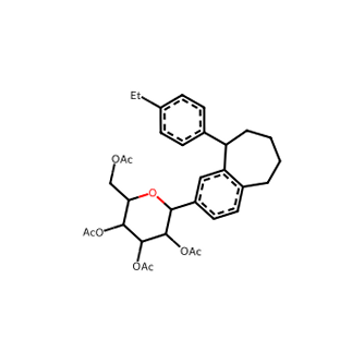 CCc1ccc(C2CCCCc3ccc(C4OC(COC(C)=O)C(OC(C)=O)C(OC(C)=O)C4OC(C)=O)cc32)cc1